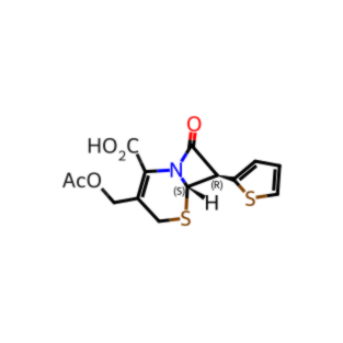 CC(=O)OCC1=C(C(=O)O)N2C(=O)[C@@H](c3cccs3)[C@@H]2SC1